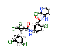 O=C(Nc1cccnc1Cl)c1cc(NC(=O)[C@H]2[C@H](c3cc(Cl)cc(Cl)c3)C2(Cl)Cl)ccc1Cl